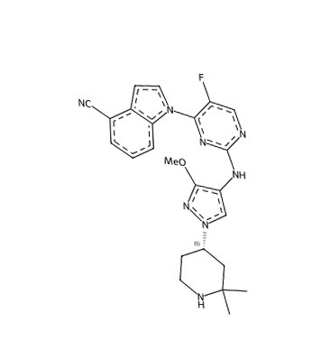 COc1nn([C@H]2CCNC(C)(C)C2)cc1Nc1ncc(F)c(-n2ccc3c(C#N)cccc32)n1